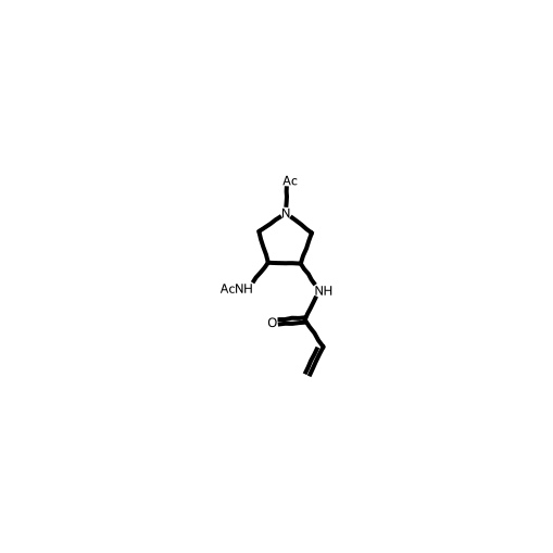 C=CC(=O)NC1CN(C(C)=O)CC1NC(C)=O